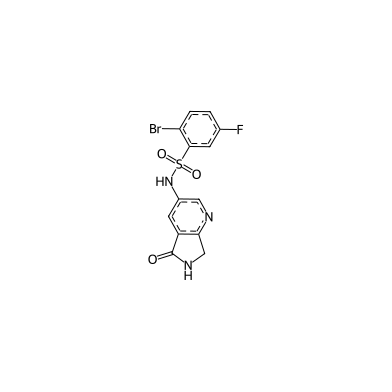 O=C1NCc2ncc(NS(=O)(=O)c3cc(F)ccc3Br)cc21